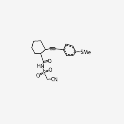 CSc1ccc(C#CC2CCCCC2C(=O)NS(=O)(=O)CC#N)cc1